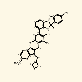 CC1(c2ccc(C#N)cc2F)Oc2cccc(-c3cc(F)c(Cc4nc5ccc(C(=O)O)cc5n4CC4CCO4)c(F)c3F)c2O1